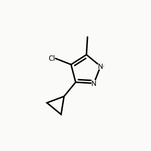 CC1=C(Cl)C(C2CC2)=N[N]1